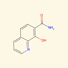 NC(=O)c1ccc2cccnc2c1O